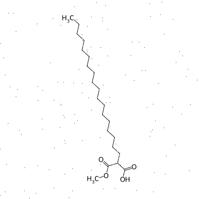 CCCCCCCCCCCCCCCCCCC(C(=O)O)C(=O)OC